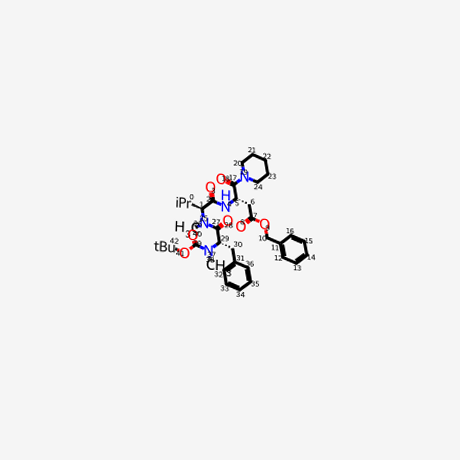 CC(C)[C@@H](C(=O)N[C@@H](CC(=O)OCc1ccccc1)C(=O)N1CCCCC1)N(C)C(=O)[C@H](Cc1ccccc1)N(C)C(=O)OC(C)(C)C